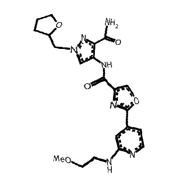 COCCNc1cc(-c2nc(C(=O)Nc3cn(CC4CCCO4)nc3C(N)=O)co2)ccn1